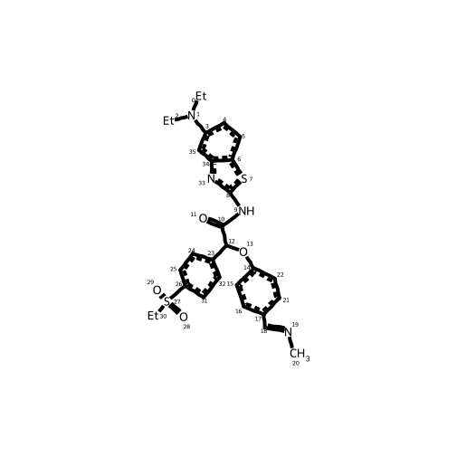 CCN(CC)c1ccc2sc(NC(=O)C(Oc3ccc(/C=N/C)cc3)c3ccc(S(=O)(=O)CC)cc3)nc2c1